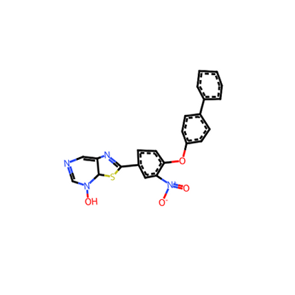 O=[N+]([O-])c1cc(C2=NC3=CN=CN(O)C3S2)ccc1Oc1ccc(-c2ccccc2)cc1